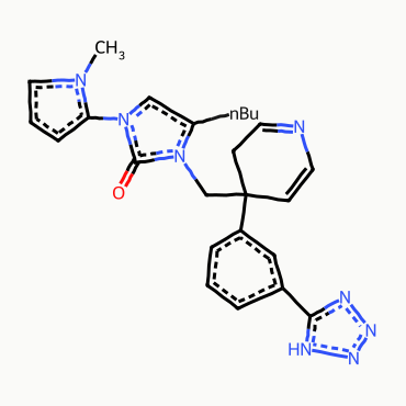 CCCCc1cn(-c2cccn2C)c(=O)n1CC1(c2cccc(-c3nnn[nH]3)c2)C=CN=CC1